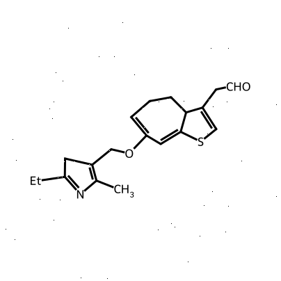 CCC1=NC(C)=C(COC2=CCCC3C(CC=O)=CSC3=C2)C1